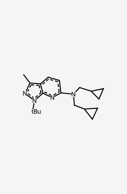 Cc1nn(C(C)(C)C)c2nc(N(CC3CC3)CC3CC3)ccc12